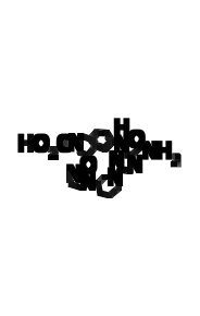 CN1CCN([C@@H]2CCCN(c3cnc(C(N)=O)c(Nc4ccc5c(c4)CCN(C(=O)O)C5)n3)C2)C1=O